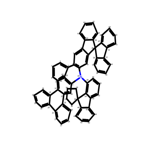 c1ccc(-c2cc3c(cc2N(c2ccc4c5ccccc5c5ccccc5c4c2)c2cccc4c2C2(CCCC2)c2ccccc2-4)C2(c4ccccc4-c4ccccc42)c2ccccc2-3)cc1